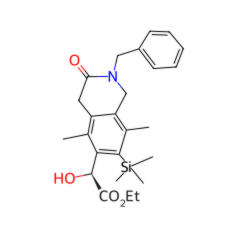 CCOC(=O)[C@@H](O)c1c(C)c2c(c(C)c1[Si](C)(C)C)CN(Cc1ccccc1)C(=O)C2